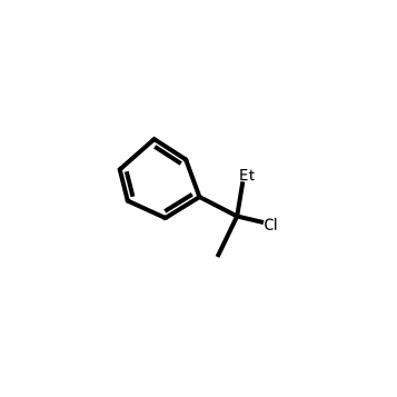 CCC(C)(Cl)c1ccccc1